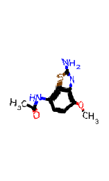 COc1ccc(NC(C)=O)c2sc(N)nc12